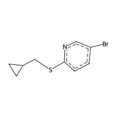 Brc1ccc(SCC2CC2)nc1